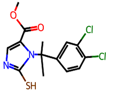 COC(=O)c1cnc(S)n1C(C)(C)c1ccc(Cl)c(Cl)c1